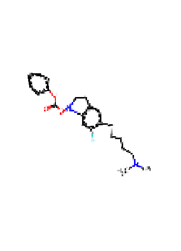 CCCN(C)CCCCCc1cc2c(cc1F)N(OC(=O)Oc1ccccc1)CC2